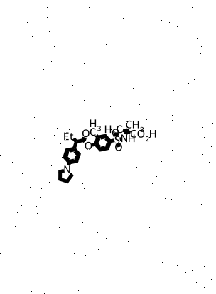 CCC(C(=O)Oc1ccc(S(=O)(=O)NC(C)(C)C(=O)O)cc1C)c1ccc(N2CCCC2)cc1